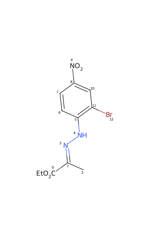 CCOC(=O)C(C)=NNc1ccc([N+](=O)[O-])cc1Br